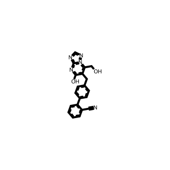 N#Cc1ccccc1-c1ccc(Cc2c(O)nc3ncnn3c2CO)cc1